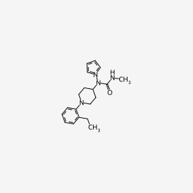 CCc1ccccc1N1CCC(N(C(=O)NC)n2cccc2)CC1